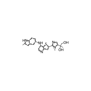 Cc1cc2cc(Nc3ccnc4cc(-c5ncc(C(C)(O)CO)n5C)sc34)ccc2[nH]1